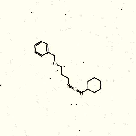 C(=NCCCOCc1ccccc1)=NC1CCCCC1